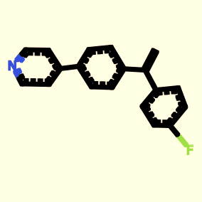 C=C(c1ccc(F)cc1)c1ccc(-c2ccncc2)cc1